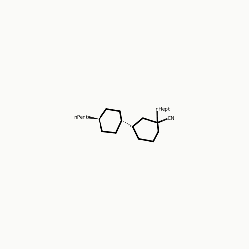 CCCCCCCC1(C#N)CCCC([C@H]2CC[C@H](CCCCC)CC2)C1